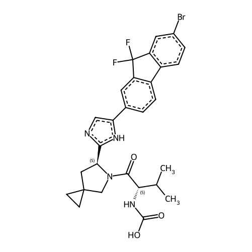 CC(C)[C@H](NC(=O)O)C(=O)N1CC2(CC2)C[C@H]1c1ncc(-c2ccc3c(c2)C(F)(F)c2cc(Br)ccc2-3)[nH]1